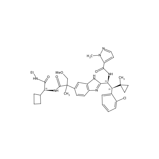 CCNC(=O)[C@@H](NC(=O)C(C)(COC)c1ccc2nc([C@@H](NC(=O)c3ccnn3C)[C@H](c3ccccc3Cl)C3(C)CC3)[nH]c2c1)C1CCC1